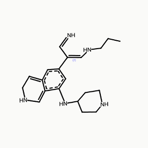 CCCN/C=C(\C=N)c1cc(NC2CCNCC2)c2c(c1)=CCNC=2